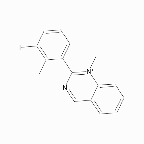 Cc1c(I)cccc1-c1ncc2ccccc2[n+]1C